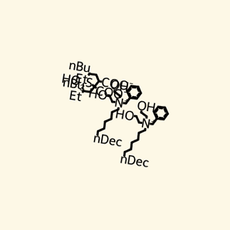 CCCCC(CC)CC(C(=O)[O-])C(CC(CC)CCCC)(C(=O)[O-])S(=O)(=O)O.CCCCCCCCCCCCCCCC[N+](CCO)(CCO)Cc1ccccc1.CCCCCCCCCCCCCCCC[N+](CCO)(CCO)Cc1ccccc1